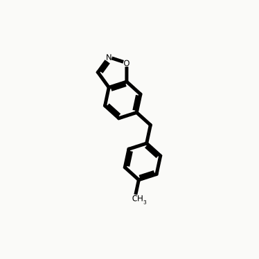 Cc1ccc(Cc2ccc3cnoc3c2)cc1